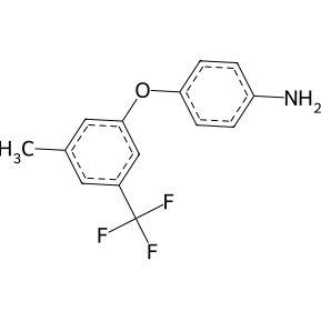 Cc1cc(Oc2ccc(N)cc2)cc(C(F)(F)F)c1